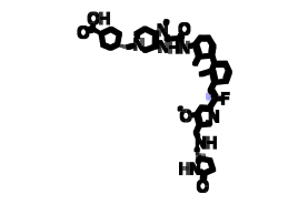 COc1cc(/C(F)=C/c2cccc(-c3cccc(NC(=O)c4nc5c(n4C)CCN(C[C@H]4CC[C@H](C(=O)O)CC4)C5)c3C)c2C)ncc1CNC[C@@H]1CCC(=O)N1